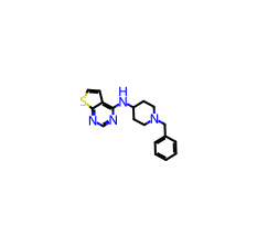 c1ccc(CN2CCC(Nc3ncnc4sccc34)CC2)cc1